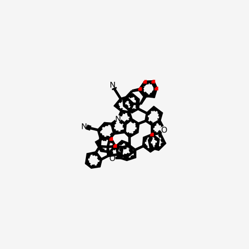 N#Cc1cc2c(c3c1C1c4ccccc4C3c3ccccc31)c1c(-c3c(-c4ccccc4)ccc4oc5ccccc5c34)cc(-c3c(-c4ccccc4)ccc4oc5ccccc5c34)c3c4c5c(c(C#N)cc4n2c13)C1c2ccccc2C2c3ccccc3C521